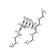 C=C.C=C.C=C.C=C.C=C.CCCCCCOCC.OCCO